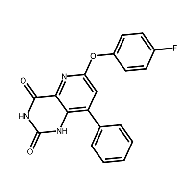 O=c1[nH]c(=O)c2nc(Oc3ccc(F)cc3)cc(-c3ccccc3)c2[nH]1